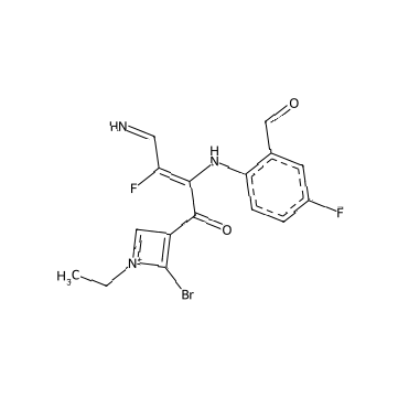 CC[N+]1=CC(C(=O)/C(Nc2ccc(F)cc2C=O)=C(\F)C=N)=C1Br